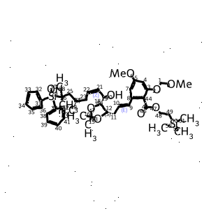 COCOc1cc(OC)cc(/C=C/C[C@@H]2OC(C)(C)O[C@@H]2C(O)/C=C\C[C@@H](CC(C)(C)[Si](O)(c2ccccc2)c2ccccc2)C(F)(F)F)c1C(=O)OCC[Si](C)(C)C